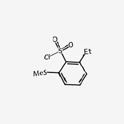 CCc1cccc(SC)c1S(=O)(=O)Cl